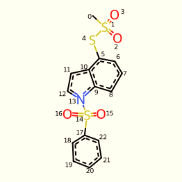 CS(=O)(=O)Sc1cccc2c1ccn2S(=O)(=O)c1ccccc1